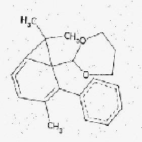 CC1=C(c2ccccc2)C2(C3OCCCO3)C(=C=C1)C2(C)C